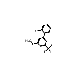 COc1cc(-c2ccccc2Cl)cc(C(F)(F)F)c1